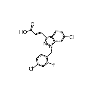 O=C(O)C=Cc1nn(Cc2ccc(Cl)cc2F)c2cc(Cl)ccc12